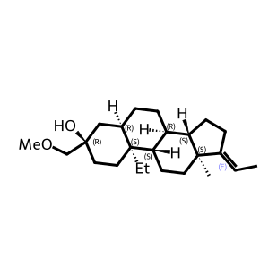 C/C=C1\CC[C@H]2[C@@H]3CC[C@@H]4C[C@@](O)(COC)CC[C@]4(CC)[C@H]3CC[C@]12C